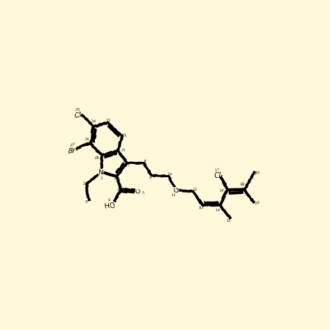 CCn1c(C(=O)O)c(CCCOCC=C(C)C(Cl)=C(C)C)c2ccc(Cl)c(Br)c21